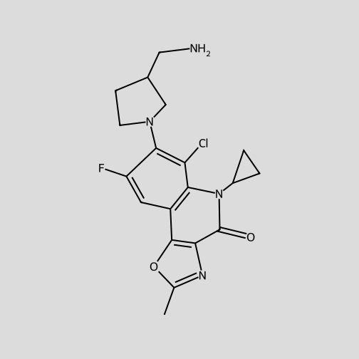 Cc1nc2c(=O)n(C3CC3)c3c(Cl)c(N4CCC(CN)C4)c(F)cc3c2o1